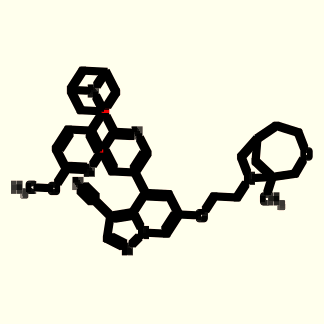 COc1ccc(CN2C3CC2CN(c2ccc(-c4cc(OCCN5CC6CCOCC5(C)C6)cn5ncc(C#N)c45)cn2)C3)cn1